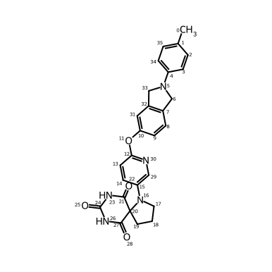 Cc1ccc(N2Cc3ccc(Oc4ccc(N5CCCC56C(=O)NC(=O)NC6=O)cn4)cc3C2)cc1